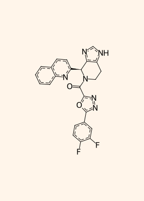 O=C(c1nnc(-c2ccc(F)c(F)c2)o1)N1CCc2[nH]cnc2[C@@H]1c1ccc2ccccc2n1